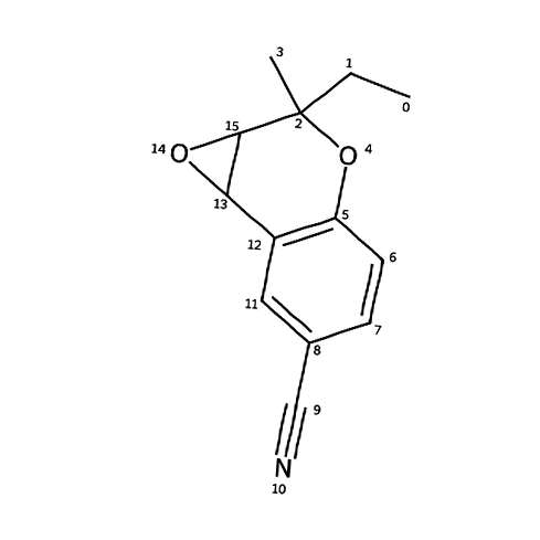 CCC1(C)Oc2ccc(C#N)cc2C2OC21